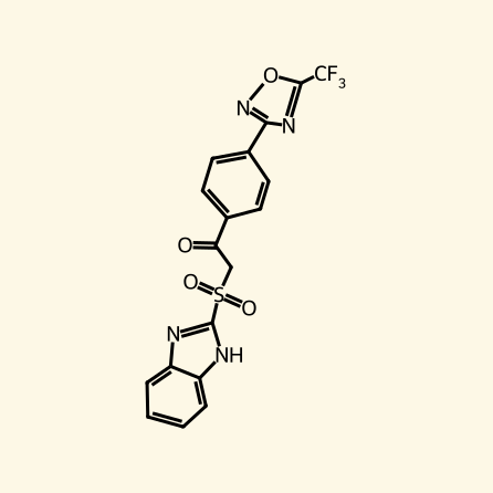 O=C(CS(=O)(=O)c1nc2ccccc2[nH]1)c1ccc(-c2noc(C(F)(F)F)n2)cc1